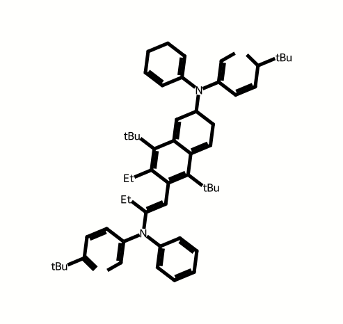 C=C(/C=C\C(=C/C)N(/C(=C/c1c(CC)c(C(C)(C)C)c2c(c1C(C)(C)C)=CCC(N(C1=CCCC=C1)C(/C=C\C(C)C(C)(C)C)=C/C)C=2)CC)c1ccccc1)C(C)(C)C